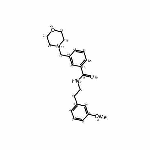 COc1cccc(CCNC(=O)c2cccc(CN3CCOCC3)c2)c1